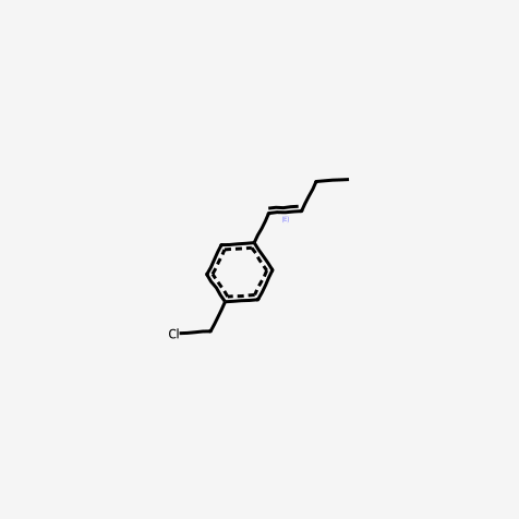 CC/C=C/c1ccc(CCl)cc1